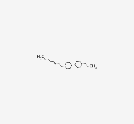 C=CCCC=CCCC1CCC(C2CCC(CCC)CC2)CC1